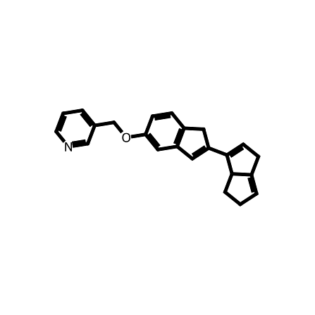 C1=C(C2=CCC3=CCCC32)Cc2ccc(OCc3cccnc3)cc21